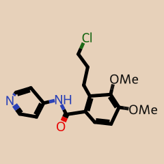 COc1ccc(C(=O)Nc2ccncc2)c(CCCCl)c1OC